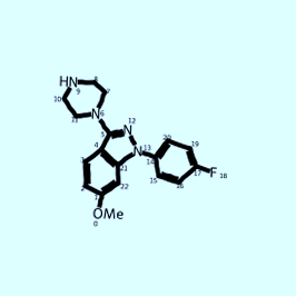 COc1ccc2c(N3CCNCC3)nn(-c3ccc(F)cc3)c2c1